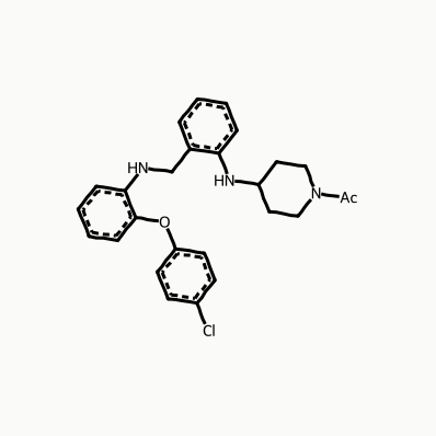 CC(=O)N1CCC(Nc2ccccc2CNc2ccccc2Oc2ccc(Cl)cc2)CC1